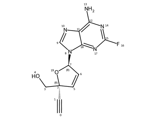 C#C[C@@]1(CO)C=C[C@H](n2cnc3c(N)nc(F)nc32)O1